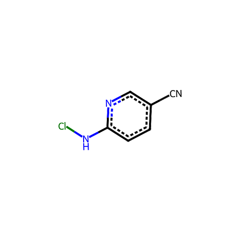 N#Cc1ccc(NCl)nc1